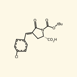 CC(C)(C)OC(=O)N1C(=O)C(=Cc2ccc(Cl)cc2)C[C@H]1C(=O)O